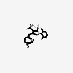 NC(=O)c1c(Cc2ccc(Cl)cn2)nn(-c2c(F)cccc2Cl)c1N